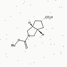 CC(C)(C)OC(=O)N1C[C@H]2C[C@@H](C(=O)O)C[C@H]2C1